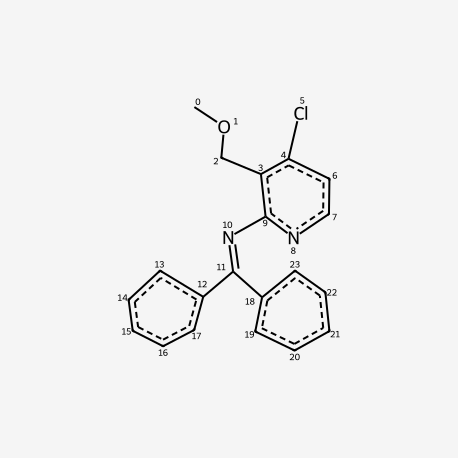 COCc1c(Cl)ccnc1N=C(c1ccccc1)c1ccccc1